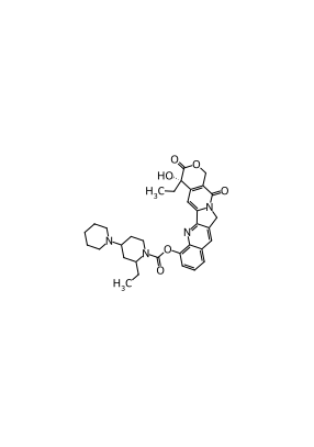 CCC1CC(N2CCCCC2)CCN1C(=O)Oc1cccc2cc3c(nc12)-c1cc2c(c(=O)n1C3)COC(=O)[C@]2(O)CC